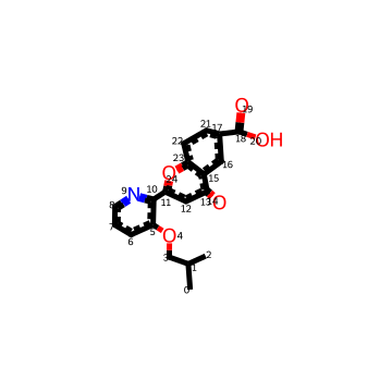 CC(C)COc1cccnc1-c1cc(=O)c2cc(C(=O)O)ccc2o1